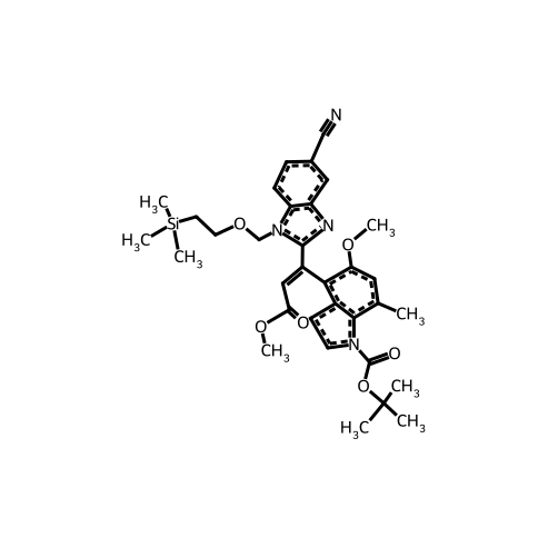 COC(=O)/C=C(\c1c(OC)cc(C)c2c1ccn2C(=O)OC(C)(C)C)c1nc2cc(C#N)ccc2n1COCC[Si](C)(C)C